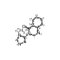 Cn1cncc1-n1cnc2ccccc2c1=O